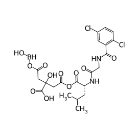 CC(C)C[C@@H](NC(=O)CNC(=O)c1cc(Cl)ccc1Cl)C(=O)OC(=O)CC(O)(CC(=O)OBO)C(=O)O